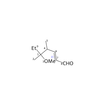 CCC(C)(OC)C(C)/C=C/C=O